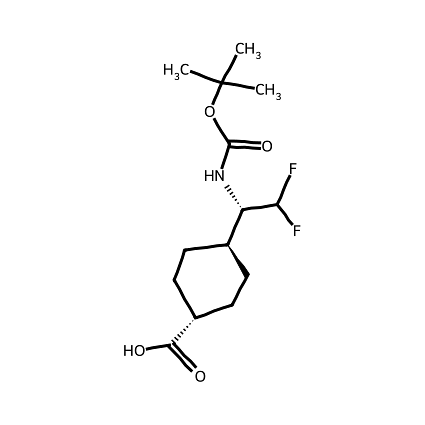 CC(C)(C)OC(=O)N[C@H](C(F)F)[C@H]1CC[C@H](C(=O)O)CC1